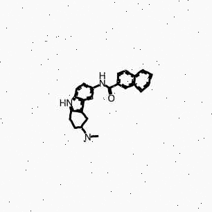 CN(C)C1CCc2[nH]c3ccc(NC(=O)c4ccc5ccccc5c4)cc3c2C1